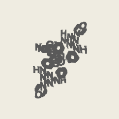 O=S(=O)([O-])CC(c1ccc(Nc2nc(Nc3ccccc3)nc(N3CCOCC3)n2)cc1)(c1ccc(Nc2nc(Nc3ccccc3)nc(N3CCOCC3)n2)cc1)S(=O)(=O)[O-].[Na+].[Na+]